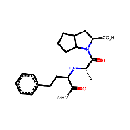 COC(=O)C(CCc1ccccc1)N[C@@H](C)C(=O)N1C2CCCC2C[C@H]1C(=O)O